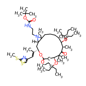 CC[Si](CC)(CC)OC1[C@@H](C)CCC[C@]2(C)[C@H](C[C@@H](/C(C)=C/c3csc(SC)n3)OC(=O)C[C@H](O[Si](CC)(CC)CC)C(C)(C)C(=O)[C@@H]1C)N2CCNC(=O)OC(C)(C)C